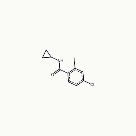 O=C(NC1CC1)c1ccc(Cl)cc1I